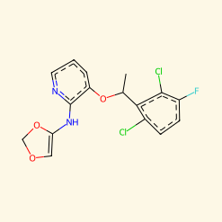 CC(Oc1cccnc1NC1=COCO1)c1c(Cl)ccc(F)c1Cl